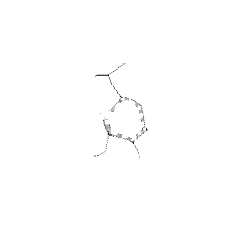 FC(F)c1ccc(Br)c(Cl)n1